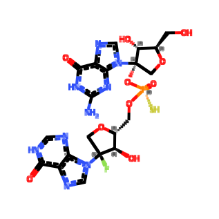 Nc1nc2c(ncn2[C@]2(O[P@](=O)(S)OC[C@H]3OC[C@@](F)(n4cnc5c(=O)[nH]cnc54)[C@@H]3O)CO[C@H](CO)[C@H]2O)c(=O)[nH]1